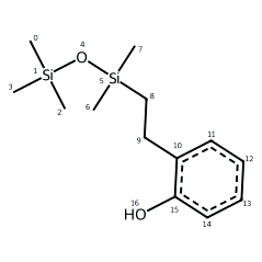 C[Si](C)(C)O[Si](C)(C)CCc1ccccc1O